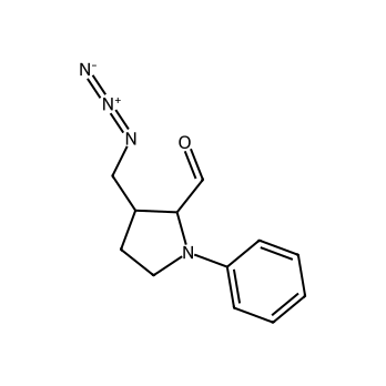 [N-]=[N+]=NCC1CCN(c2ccccc2)C1C=O